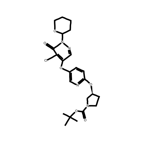 CC(C)(C)OC(=O)N1CC[C@H](Oc2ccc(Oc3cnn(C4CCCCO4)c(=O)c3Cl)cn2)C1